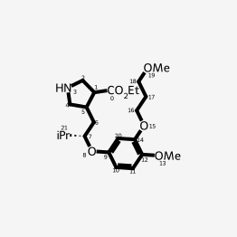 CCOC(=O)C1CNCC1C[C@H](Oc1ccc(OC)c(OCCCOC)c1)C(C)C